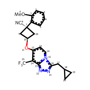 COc1ccccc1[C@]1(C#N)C[C@H](Oc2ccn3c(CC4CC4)nnc3c2C(F)(F)F)C1